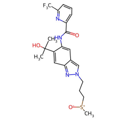 C[S+]([O-])CCCn1cc2cc(NC(=O)c3cccc(C(F)(F)F)n3)c(C(C)(C)O)cc2n1